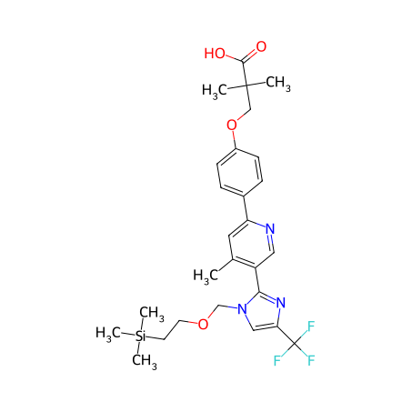 Cc1cc(-c2ccc(OCC(C)(C)C(=O)O)cc2)ncc1-c1nc(C(F)(F)F)cn1COCC[Si](C)(C)C